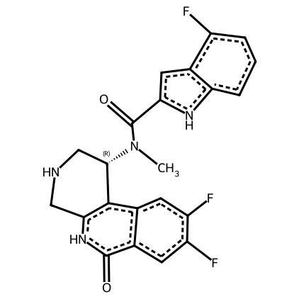 CN(C(=O)c1cc2c(F)cccc2[nH]1)[C@H]1CNCc2[nH]c(=O)c3cc(F)c(F)cc3c21